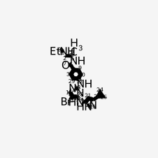 CCNCC(C)NC(=O)c1ccc(Nc2ncc(Br)c(Nc3cc(C4CC4)n[nH]3)n2)cc1